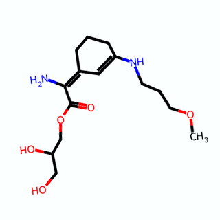 COCCCNC1=C/C(=C(/N)C(=O)OCC(O)CO)CCC1